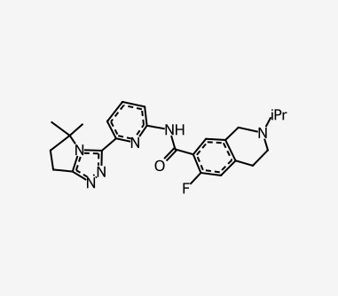 CC(C)N1CCc2cc(F)c(C(=O)Nc3cccc(-c4nnc5n4C(C)(C)CC5)n3)cc2C1